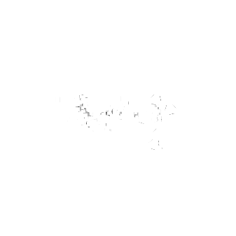 C/C(=C\C[C@H](O[Si](c1ccccc1)(c1ccccc1)C(C)(C)C)/C(C)=C/c1cccnc1)CCC[C@H](C)[C@H](O[Si](C)(C)C(C)(C)C)[C@@H](C)C(=O)C(C)(C)[C@H](CCO[Si](C)(C)C(C)(C)C)O[Si](C)(C)C(C)(C)C